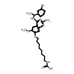 COc1cc2c(NC(C)c3cccc(Br)c3)nc(C)nc2cc1OCCCCCCCCNC(=O)O